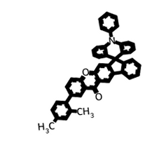 Cc1ccc(-c2ccc3oc4cc5c(cc4c(=O)c3c2)-c2ccccc2C52c3ccccc3N(c3ccccc3)c3ccccc32)c(C)c1